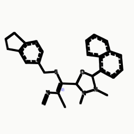 C=N/C(C)=C(\SCc1ccc2c(c1)CCC2)C1OC(c2cccc3ccccc23)N(C)N1C